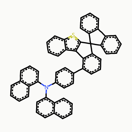 c1ccc2c(c1)-c1ccccc1C21c2cccc(-c3ccc(N(c4cccc5ccccc45)c4cccc5ccccc45)cc3)c2-c2c1sc1ccccc21